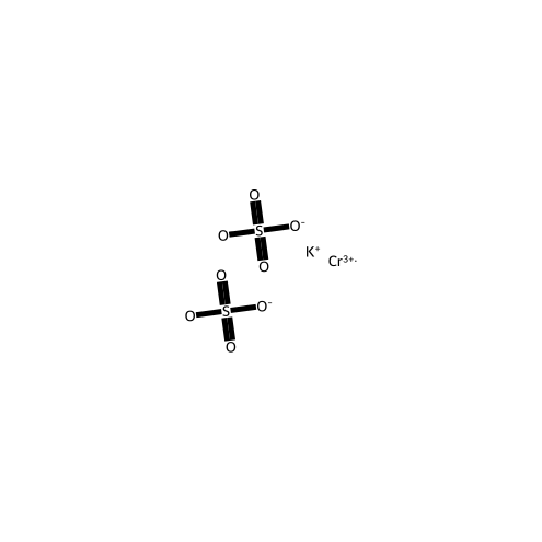 O=S(=O)([O-])[O-].O=S(=O)([O-])[O-].[Cr+3].[K+]